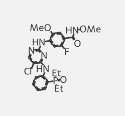 CCP(=O)(CC)c1ccccc1Nc1nc(Nc2cc(F)c(C(=O)NOC)cc2OC)ncc1Cl